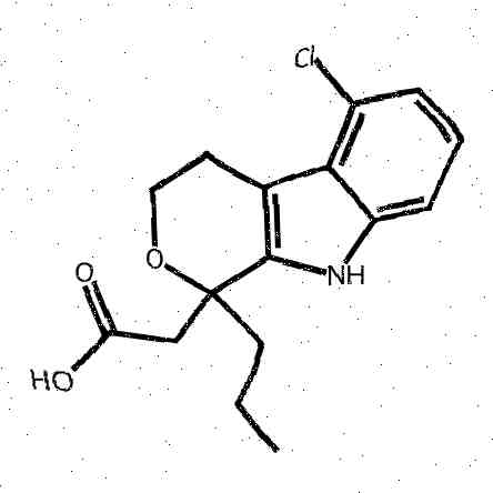 CCCC1(CC(=O)O)OCCc2c1[nH]c1cccc(Cl)c21